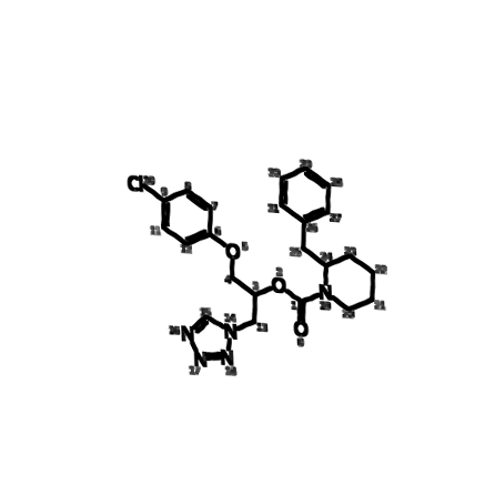 O=C(OC(COc1ccc(Cl)cc1)Cn1cnnn1)N1CCCCC1Cc1ccccc1